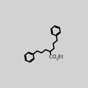 CCOC(=O)C(CCCc1ccccc1)CCCc1ccccc1